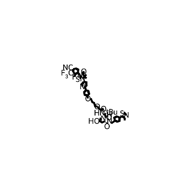 Cc1ncsc1-c1ccc(CNC(=O)[C@@H]2C[C@H](O)CN2C(=O)[C@@H](NC(=O)COCCCCOc2ccc(-c3ccc(N4C(=S)N(c5ccc(C#N)c(C(F)(F)F)c5F)C(=O)C4(C)C)cn3)cc2)C(C)(C)C)cc1